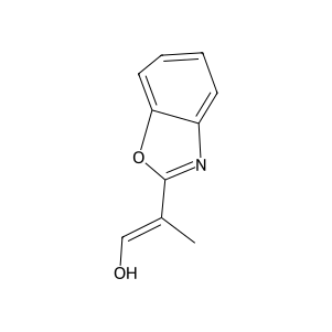 C/C(=C\O)c1nc2ccccc2o1